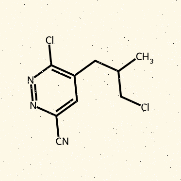 CC(CCl)Cc1cc(C#N)nnc1Cl